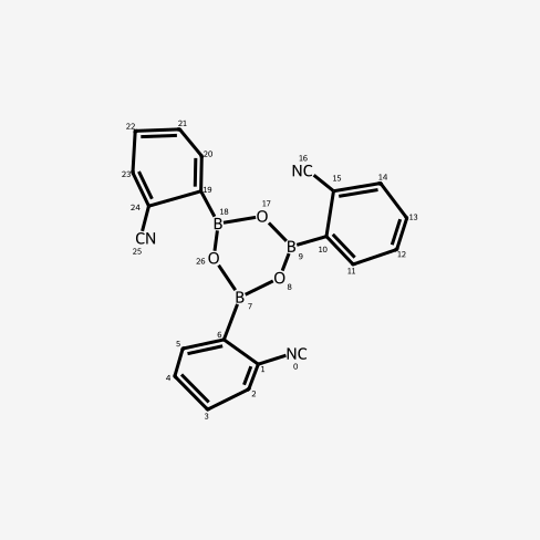 [C-]#[N+]c1ccccc1B1OB(c2ccccc2C#N)OB(c2ccccc2C#N)O1